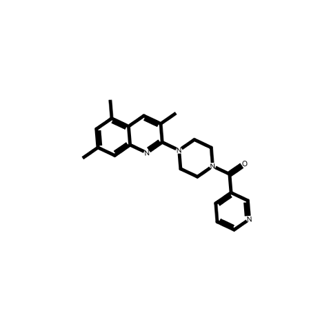 Cc1cc(C)c2cc(C)c(N3CCN(C(=O)c4cccnc4)CC3)nc2c1